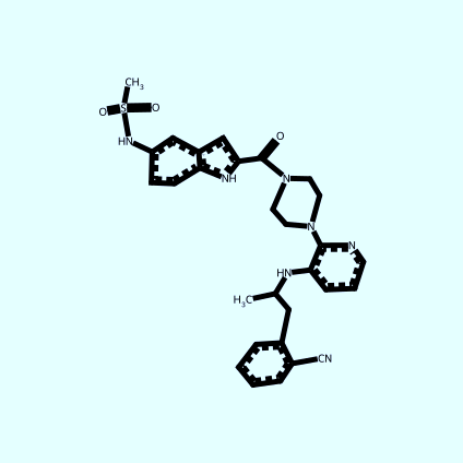 CC(Cc1ccccc1C#N)Nc1cccnc1N1CCN(C(=O)c2cc3cc(NS(C)(=O)=O)ccc3[nH]2)CC1